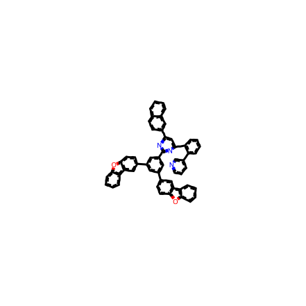 c1cncc(-c2ccccc2-c2cc(-c3ccc4ccccc4c3)nc(-c3cc(-c4ccc5oc6ccccc6c5c4)cc(-c4ccc5oc6ccccc6c5c4)c3)n2)c1